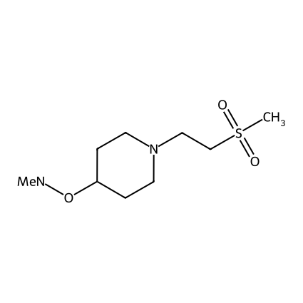 CNOC1CCN(CCS(C)(=O)=O)CC1